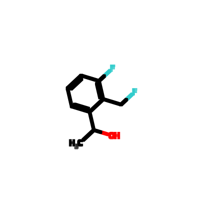 CC(O)c1cccc(F)c1CF